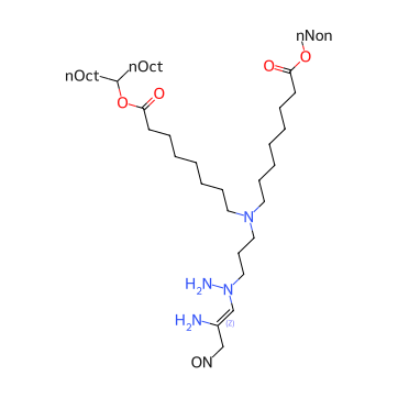 CCCCCCCCCOC(=O)CCCCCCCN(CCCCCCCC(=O)OC(CCCCCCCC)CCCCCCCC)CCCN(N)/C=C(\N)CN=O